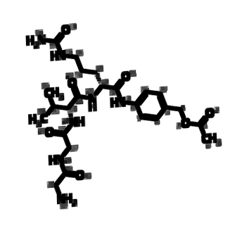 CC(=O)OCc1ccc(NC(=O)[C@@H](CCCNC(N)=O)NC(=O)[C@H](NC(=O)CNC(=O)CN)C(C)C)cc1